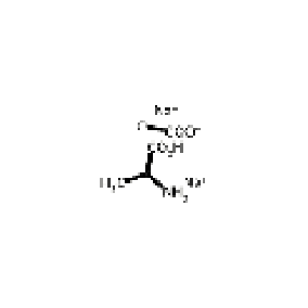 CC(N)C(=O)O.O=C([O-])[O-].[Na+].[Na+]